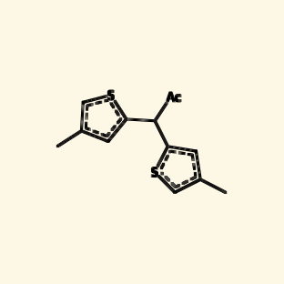 CC(=O)C(c1cc(C)cs1)c1cc(C)cs1